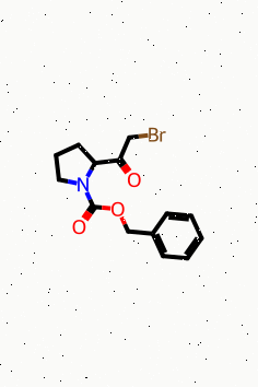 O=C(CBr)C1CCCN1C(=O)OCc1ccccc1